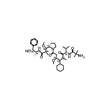 CO[C@H]([C@@H](C)C(=O)N[C@H](C)[C@H](O)c1ccccc1)[C@@H]1CCCN1C(=O)C[C@H](OC)[C@H](C1CCCCC1)N(C)C(=O)[C@@H](NC(=O)C(C)(C)N)C(C)C